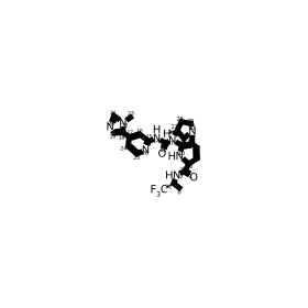 C[C@@H](NC(=O)C1C=CC2=C(N1)N(C(=O)Nc1cc(-c3cncn3C)ccn1)[C@H]1CCN2C1)C(F)(F)F